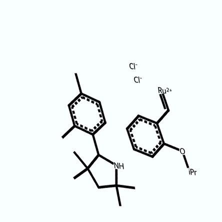 CC(C)Oc1ccccc1[CH]=[Ru+2].Cc1ccc(C2NC(C)(C)CC2(C)C)c(C)c1.[Cl-].[Cl-]